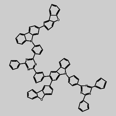 c1ccc(-c2nc(-c3ccccc3)nc(-c3ccc(-n4c5ccccc5c5cc(-c6cccc(-c7nc(-c8ccccc8)nc(-c8cccc(-n9c%10ccccc%10c%10ccc(-c%11ccc%12oc%13ccccc%13c%12c%11)cc%109)c8)n7)c6)c(-c6ccc7oc8ccccc8c7c6)cc54)cc3)n2)cc1